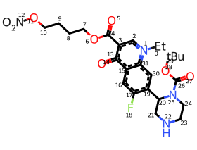 CCn1cc(C(=O)OCCCCO[N+](=O)[O-])c(=O)c2cc(F)c(C3CNCCN3C(=O)OC(C)(C)C)cc21